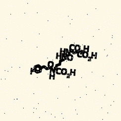 O=C(O)CC[C@H](NC(=O)NCCCC[C@H](NC(=O)CCc1ccc(I)cc1)C(=O)O)C(=O)O